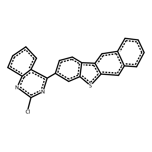 Clc1nc(-c2ccc3c(c2)sc2cc4ccccc4cc23)c2ccccc2n1